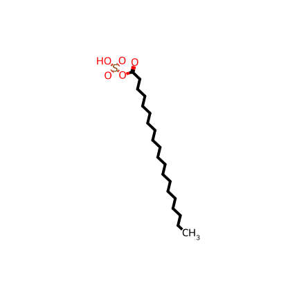 CCCCCCCCCCCCCCCCCCCC(=O)OS(=O)(=O)O